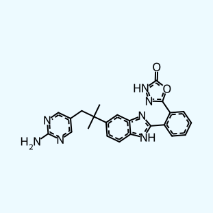 CC(C)(Cc1cnc(N)nc1)c1ccc2[nH]c(-c3ccccc3-c3n[nH]c(=O)o3)nc2c1